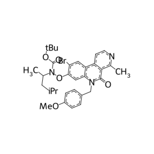 COc1ccc(Cn2c(=O)c3c(C)nccc3c3cc(Br)c(ON(C(=O)OC(C)(C)C)C(C)CC(C)C)cc32)cc1